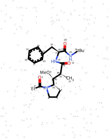 CCC(=O)N1CCC[C@H]1[C@H](OC)[C@@H](C)C(=O)N[C@@H](Cc1ccccc1)C(=O)NC(C)(C)C